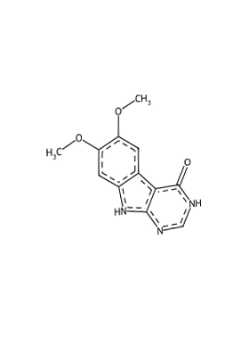 COc1cc2[nH]c3nc[nH]c(=O)c3c2cc1OC